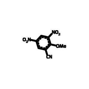 COc1c(C#N)cc([N+](=O)[O-])cc1[N+](=O)[O-]